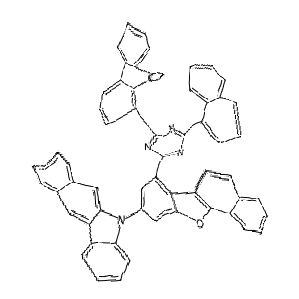 c1ccc2cc3c(cc2c1)c1ccccc1n3-c1cc(-c2nc(-c3cccc4ccccc34)nc(-c3cccc4c3oc3ccccc34)n2)c2c(c1)oc1c3ccccc3ccc12